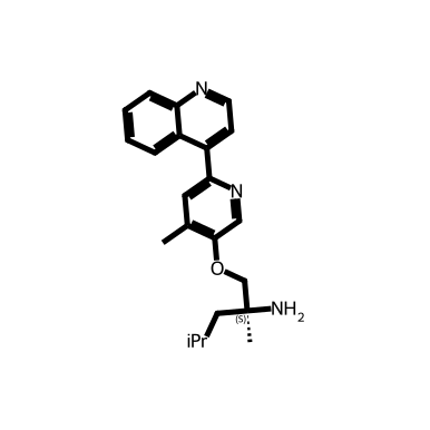 Cc1cc(-c2ccnc3ccccc23)ncc1OC[C@@](C)(N)CC(C)C